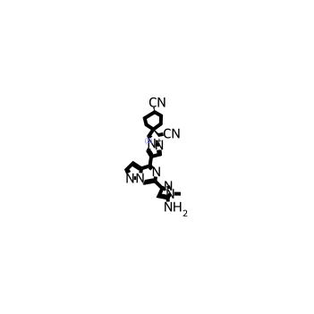 Cn1nc(-c2cn3nccc3c(C3=C/[N+](=C/[C@]4(CC#N)CC[C@H](C#N)CC4)N=C3)n2)cc1N